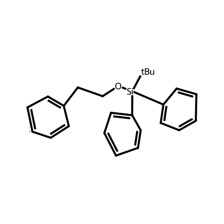 CC(C)(C)[Si](OCCc1cc[c]cc1)(c1ccccc1)c1ccccc1